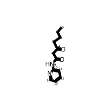 CCCCC(=O)CC(=O)Nc1ccccn1